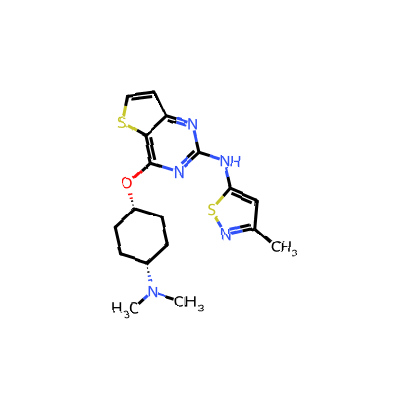 Cc1cc(Nc2nc(O[C@H]3CC[C@@H](N(C)C)CC3)c3sccc3n2)sn1